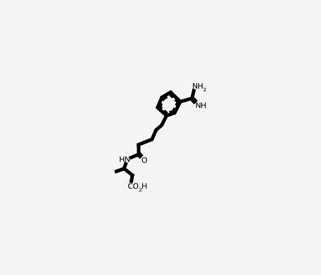 CC(CC(=O)O)NC(=O)CCCCc1cccc(C(=N)N)c1